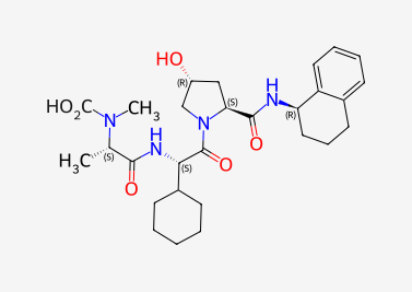 C[C@@H](C(=O)N[C@H](C(=O)N1C[C@H](O)C[C@H]1C(=O)N[C@@H]1CCCc2ccccc21)C1CCCCC1)N(C)C(=O)O